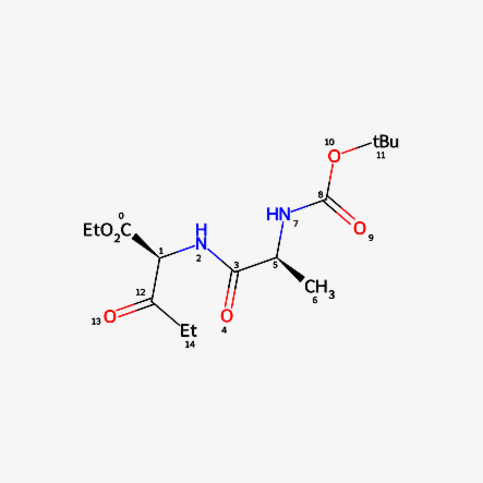 CCOC(=O)[C@@H](NC(=O)[C@H](C)NC(=O)OC(C)(C)C)C(=O)CC